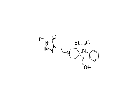 CCC(=O)N(c1ccccc1)C1(CCO)CCN(CCn2nnn(CC)c2=O)CC1